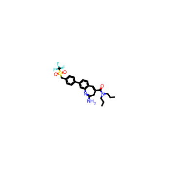 CCCN(CCC)C(=O)C1=Cc2ccc(-c3ccc(CS(=O)(=O)C(F)(F)F)cc3)cc2N=C(N)C1